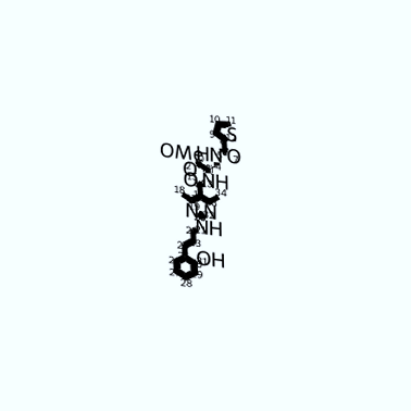 COC(=O)[C@H](CNC(=O)c1cccs1)NC(=O)c1c(C)nc(NCC=Cc2ccccc2O)nc1C